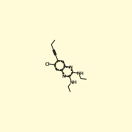 CCC#Cc1cc2nc(NCC)c(NCC)nc2cc1Cl